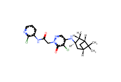 C[C@@H]1[C@H]2C[C@@H](C[C@H]1Nc1cnn(CC(=O)Nc3cccnc3Cl)c(=O)c1Cl)C2(C)C